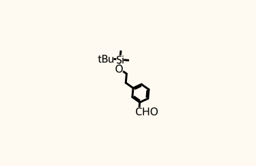 CC(C)(C)[Si](C)(C)OCCc1cccc(C=O)c1